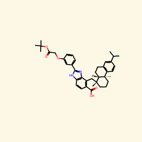 CC(C)c1ccc2c(c1)CC[C@H]1[C@@](C)(Cc3c(C(=O)O)ccc4[nH]c(-c5cccc(OCC(=O)OC(C)(C)C)c5)nc34)CCC[C@]21C